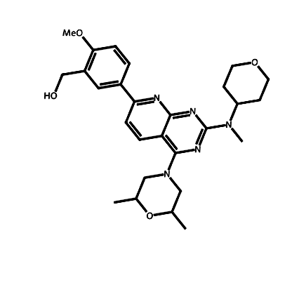 COc1ccc(-c2ccc3c(N4CC(C)OC(C)C4)nc(N(C)C4CCOCC4)nc3n2)cc1CO